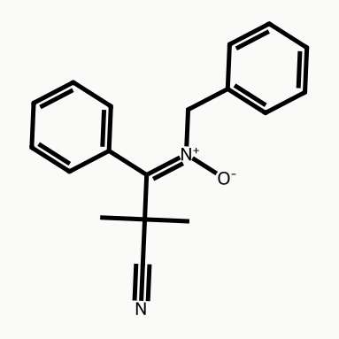 CC(C)(C#N)/C(c1ccccc1)=[N+](\[O-])Cc1ccccc1